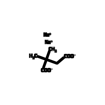 CC(C)(CC(=O)[O-])C(=O)[O-].[Na+].[Na+]